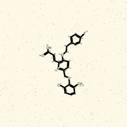 Cc1cccc(Cl)c1SCc1ccc(OCCc2ccc(F)cc2)c(/C=C/C(=O)O)n1